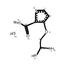 CCCC(N)COc1ccsc1C(=O)OC.Cl